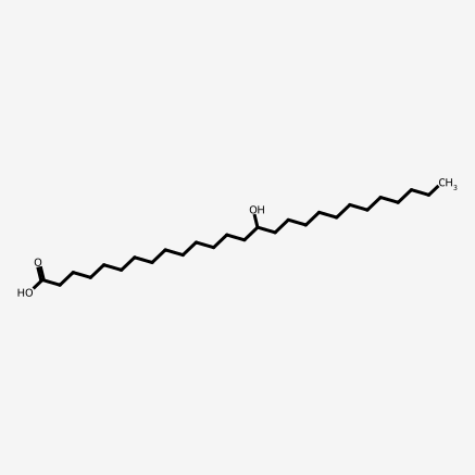 CCCCCCCCCCCCC(O)CCCCCCCCCCCCCC(=O)O